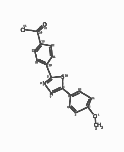 COc1ccc(-c2nnc(-c3ccc(C(=O)Cl)cc3)s2)cc1